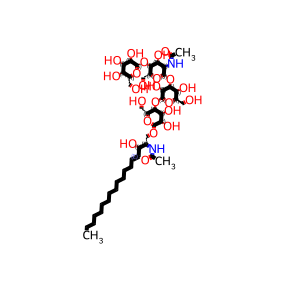 CCCCCCCCCCCCC/C=C/[C@@H](O)[C@H](COC1O[C@H](CO)[C@@H](O[C@@H]2O[C@H](CO)[C@H](O)[C@H](O[C@@H]3O[C@H](CO)[C@@H](O[C@@H]4O[C@H](CO)[C@H](O)[C@H](O)[C@H]4O)[C@H](O)[C@H]3NC(C)=O)[C@H]2O)[C@H](O)[C@H]1O)NC(C)=O